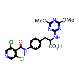 COc1nc(NC(Cc2ccc(NC(=O)c3c(Cl)cncc3Cl)cc2)C(=O)O)nc(OC)n1